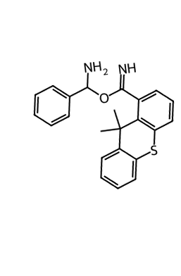 CC1(C)c2ccccc2Sc2cccc(C(=N)OC(N)c3ccccc3)c21